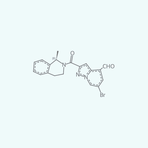 C[C@@H]1c2ccccc2CCN1C(=O)c1cc2c(C=O)cc(Br)cn2n1